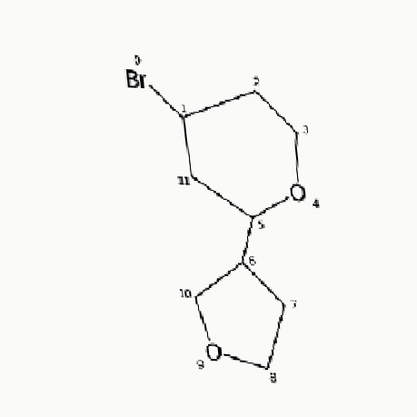 BrC1CCOC(C2CCOC2)C1